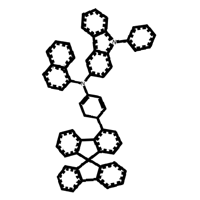 C1=CC(c2cccc3c2-c2ccccc2C32c3ccccc3-c3ccccc32)CC=C1N(c1ccc2c(c1)c1ccccc1n2-c1ccccc1)c1cccc2ccccc12